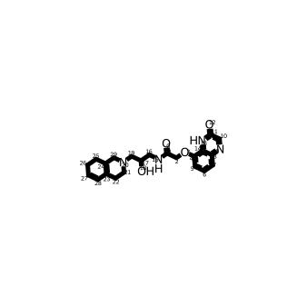 O=C(COc1cccc2ncc(=O)[nH]c12)NCC(O)CN1CCC2=C(CCC=C2)C1